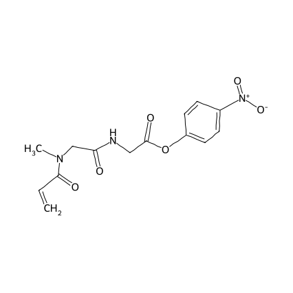 C=CC(=O)N(C)CC(=O)NCC(=O)Oc1ccc([N+](=O)[O-])cc1